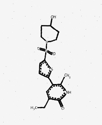 CCc1cc(-c2ccc(S(=O)(=O)N3CCC(O)CC3)s2)c(C)[nH]c1=O